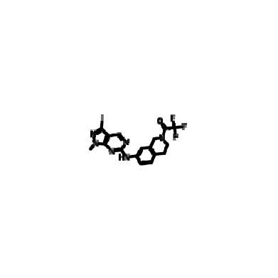 Cn1nc(I)c2cnc(Nc3ccc4c(c3)CN(C(=O)C(F)(F)F)CC4)nc21